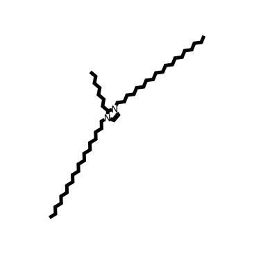 CCCCCCCCCCCCCCCCCCCN1C=CN(CCCCCCCCCCCCCCCCCCC)C1CCCCCCC